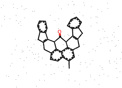 Cc1cc2c3c4c5c(ccc14)CC1=C(c4ccccc4C1)C5C(=O)C3C1=C(Cc3ccccc31)C2